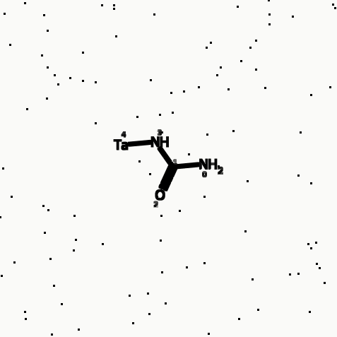 NC(=O)[NH][Ta]